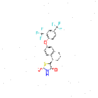 O=C1NC(=O)C([C@@H]2CCCc3cc(Oc4ccc(C(F)(F)F)cc4C(F)(F)F)ccc32)S1